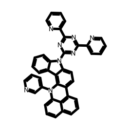 c1ccc(-c2nc(-c3ccccn3)nc(-n3c4ccccc4c4c5c(ccc43)-c3cccc4cccc(c34)N5c3cccnc3)n2)nc1